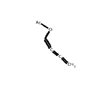 C=C=C=COC(C)=O